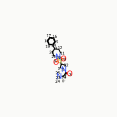 C[C@@H](C(=O)N1CC(S(=O)(=O)N2CCC(c3ccccc3)CC2)C1)N(C)C